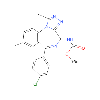 Cc1ccc2c(c1)C(c1ccc(Cl)cc1)=NC(NC(=O)OC(C)(C)C)c1nnc(C)n1-2